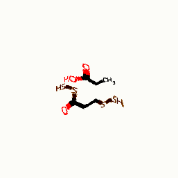 CCC(=O)O.O=C(CCSS)SS